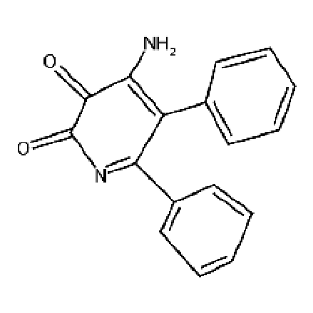 NC1=C(c2ccccc2)C(c2ccccc2)=NC(=O)C1=O